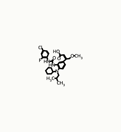 COC/C(=C/C(=O)O)c1ccc(N(CC(C)C)C2CCCCC2)c(NC(=O)Nc2ccc(Cl)cc2F)c1